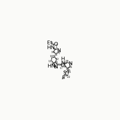 CCC(=O)Nc1cncc(-c2ccc3[nH]nc(-c4cc5c(-c6ccc(F)s6)cncc5[nH]4)c3c2)c1